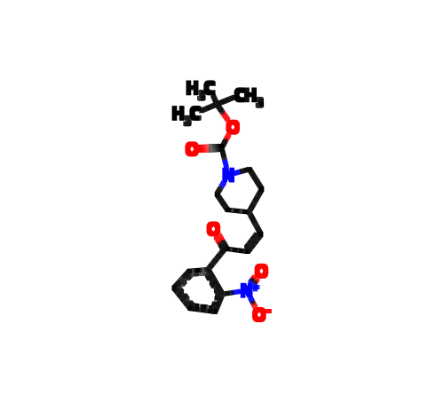 CC(C)(C)OC(=O)N1CCC(/C=C\C(=O)c2ccccc2[N+](=O)[O-])CC1